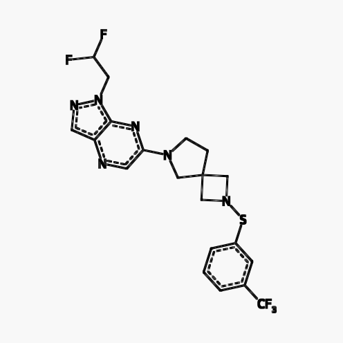 FC(F)Cn1ncc2ncc(N3CCC4(CN(Sc5cccc(C(F)(F)F)c5)C4)C3)nc21